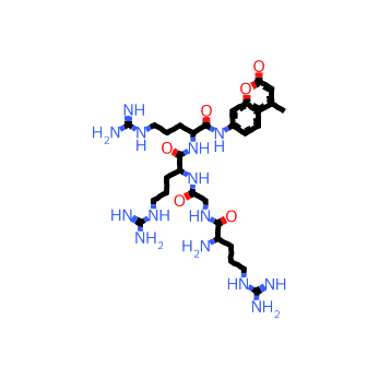 Cc1cc(=O)oc2cc(NC(=O)C(CCCNC(=N)N)NC(=O)C(CCCNC(=N)N)NC(=O)CNC(=O)C(N)CCCNC(=N)N)ccc12